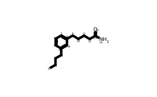 CCCCc1cccc(CCCCC(N)=O)c1